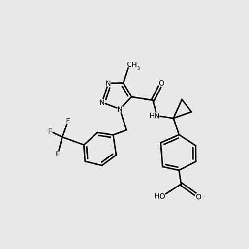 Cc1nnn(Cc2cccc(C(F)(F)F)c2)c1C(=O)NC1(c2ccc(C(=O)O)cc2)CC1